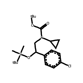 CC(C)(C)OC(=O)N(CC(O[Si](C)(C)C(C)(C)C)c1ccc(Cl)cc1)C1CC1